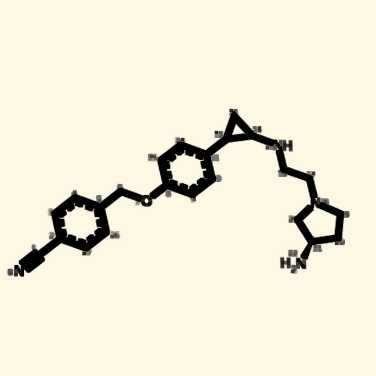 N#Cc1ccc(COc2ccc(C3CC3NCCN3CC[C@@H](N)C3)cc2)cc1